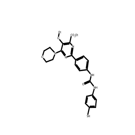 CCOC(=O)c1nc(-c2ccc(NC(=O)Nc3ccc(S)cc3)cc2)nc(N2CCOCC2)c1OCC